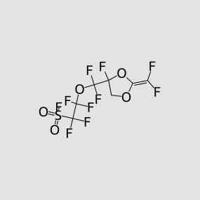 O=S(=O)(F)C(F)(F)C(F)(F)OC(F)(F)C1(F)COC(=C(F)F)O1